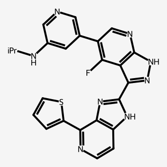 CC(C)Nc1cncc(-c2cnc3[nH]nc(-c4nc5c(-c6cccs6)nccc5[nH]4)c3c2F)c1